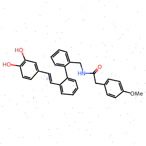 COc1ccc(CC(=O)NCc2ccccc2-c2ccccc2/C=C/c2ccc(O)c(O)c2)cc1